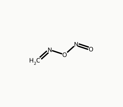 C=NON=O